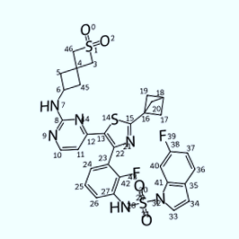 O=S1(=O)CC2(CC(Nc3nccc(-c4sc(C56CC(C5)C6)nc4-c4cccc(NS(=O)(=O)n5ccc6ccc(F)cc65)c4F)n3)C2)C1